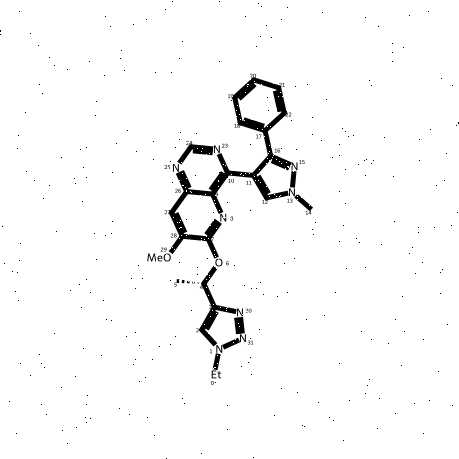 CCn1cc([C@H](C)Oc2nc3c(-c4cn(C)nc4-c4ccccc4)ncnc3cc2OC)nn1